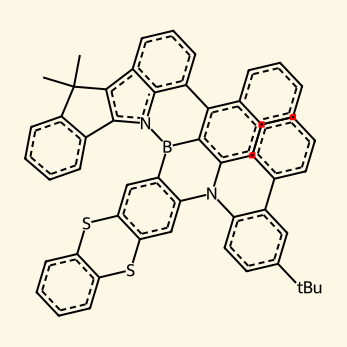 CC(C)(C)c1ccc(N2c3cc4c(cc3B3c5c2cc2ccccc2c5-c2cccc5c6c(n3c25)-c2ccccc2C6(C)C)Sc2ccccc2S4)c(-c2ccccc2)c1